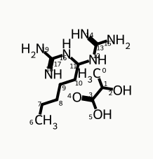 CC(O)C(=O)O.CCCCCC(NC(=N)N)NC(=N)N